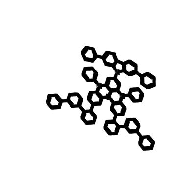 c1ccc(-c2cccc(-c3ccccc3-c3ccc4c(c3)B3c5cc(-c6ccccc6-c6cccc(-c7ccccc7)c6)ccc5N(c5ccccc5)c5cc(-n6c7cc(-c8ccccc8)ccc7c7ccc(-c8ccccc8)cc76)cc(c53)N4c3ccccc3)c2)cc1